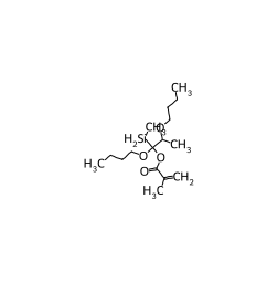 C=C(C)C(=O)OC(OCCCC)([SiH2]C)C(C)OCCCC